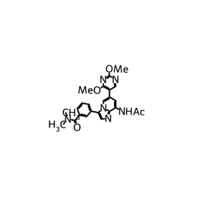 COc1ncc(-c2cc(NC(C)=O)c3ncc(-c4cccc(C(=O)N(C)C)c4)n3c2)c(OC)n1